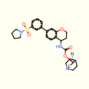 O=C(NC1CCOc2cc(-c3cccc(S(=O)(=O)N4CCCC4)c3)ccc21)O[C@@H]1CN2CCC1CC2